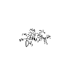 CC(C)NC(C)CC(C)(C)CNC(=O)C(C)(C)CC(C)(C)C(C)C